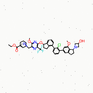 CCOC(=O)C12CCC(CC1)N(Cc1nc(C(F)(F)F)c(OC3CCc4c(-c5cccc(-c6cc7c(c(OC)c6)C(N6CC(O)C6)CC7)c5Cl)cccc43)nc1OC)C2